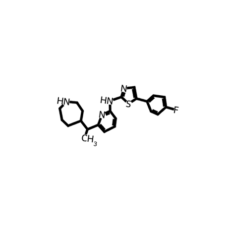 CC(c1cccc(Nc2ncc(-c3ccc(F)cc3)s2)n1)C1CCCNCC1